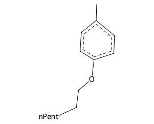 [CH2]CCCCCCOc1ccc(C)cc1